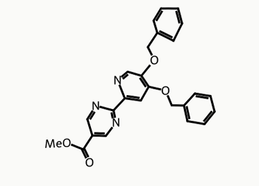 COC(=O)c1cnc(-c2cc(OCc3ccccc3)c(OCc3ccccc3)cn2)nc1